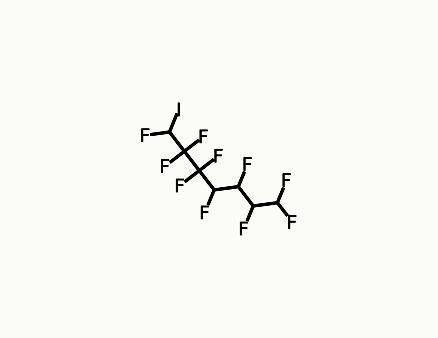 FC(F)C(F)C(F)C(F)C(F)(F)C(F)(F)C(F)I